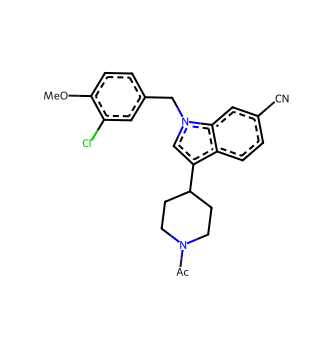 COc1ccc(Cn2cc(C3CCN(C(C)=O)CC3)c3ccc(C#N)cc32)cc1Cl